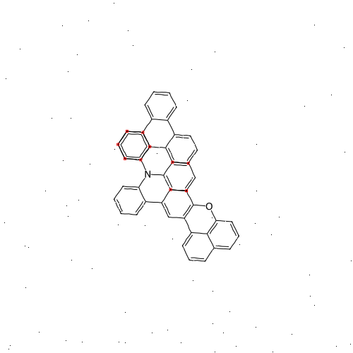 C1=C(c2ccccc2N(c2ccccc2)c2ccccc2-c2ccccc2-c2ccccc2-c2ccccc2)CCC2=C1c1cccc3cccc(c13)O2